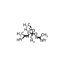 C=C[SiH2]OC(C)(ON=C(C)CCC)ON=C(C)CCC